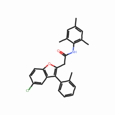 Cc1cc(C)c(NC(=O)Cc2oc3ccc(Cl)cc3c2-c2ccccc2C)c(C)c1